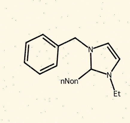 CCCCCCCCCC1N(CC)C=CN1Cc1ccccc1